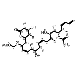 C=C/C=C\[C@H](C)[C@H](OC(N)=O)[C@@H](C)[C@H](O)[C@@H](C)C/C=C\[C@H](C)[C@@H](O)[C@@H](C)/C=C\[C@H](CC1OC(=O)[C@H](C)[C@@H](O)[C@H]1C)OCOC